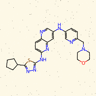 c1cc(CN2CCOCC2)ncc1Nc1cnc2ccc(Nc3nnc(C4CCCC4)s3)nc2c1